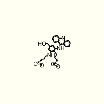 O=S(=O)=CCCNc1cc(CO)cc(Nc2c3ccccc3nc3ccccc23)c1CCC=S(=O)=O